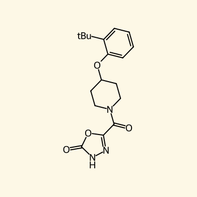 CC(C)(C)c1ccccc1OC1CCN(C(=O)c2n[nH]c(=O)o2)CC1